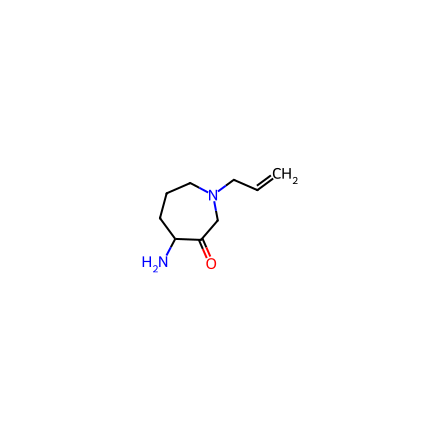 C=CCN1CCCC(N)C(=O)C1